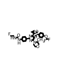 C[C@H]1COCCN1c1cc(C2(S(=O)(=O)c3ccc(OC(F)F)cc3)CC2)nc(-c2ccc(NC(=O)NCCF)cc2)n1